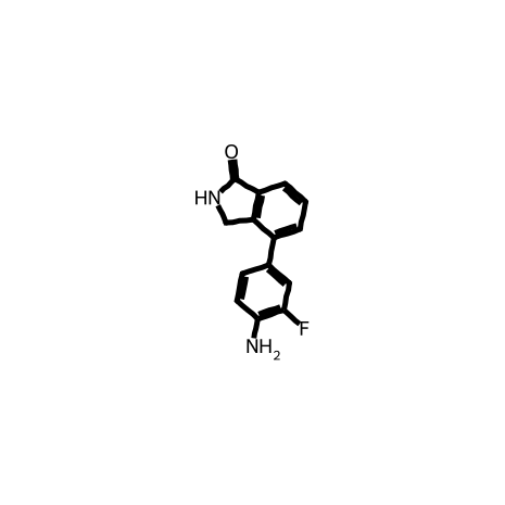 Nc1ccc(-c2cccc3c2CNC3=O)cc1F